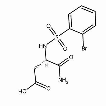 NC(=O)[C@H](CC(=O)O)NS(=O)(=O)c1ccccc1Br